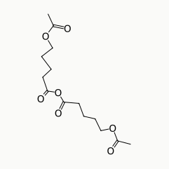 CC(=O)OCCCCC(=O)OC(=O)CCCCOC(C)=O